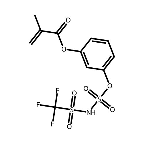 C=C(C)C(=O)Oc1cccc(OS(=O)(=O)NS(=O)(=O)C(F)(F)F)c1